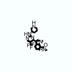 CNC(=O)c1cccc2c(-c3nc(N[C@H]4CCCNC4)ncc3C(F)(F)F)cn(C)c12